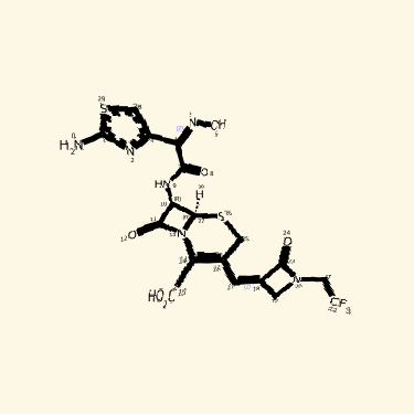 Nc1nc(/C(=N/O)C(=O)N[C@@H]2C(=O)N3C(C(=O)O)=C(/C=C4/CN(CC(F)(F)F)C4=O)CS[C@H]23)cs1